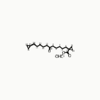 O=COC(=O)C1(CCCCCC(=O)CCCCCC2CC2)CC1